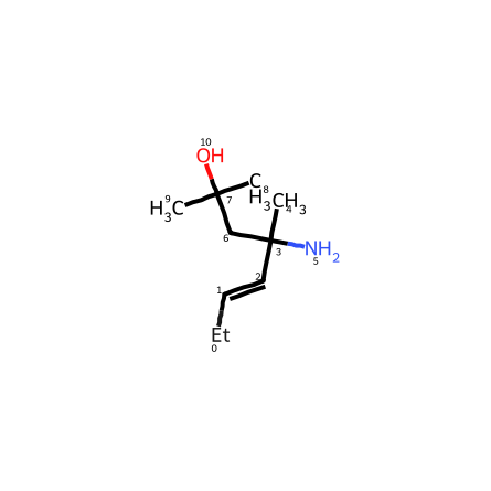 CC/C=C/C(C)(N)CC(C)(C)O